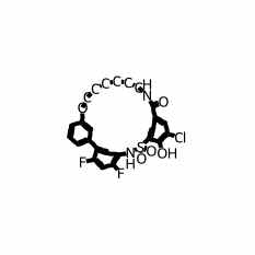 O=C1NCCCCCCOc2cccc(c2)-c2cc(c(F)cc2F)NS(=O)(=O)c2cc1cc(Cl)c2O